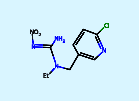 CCN(Cc1ccc(Cl)nc1)/C(N)=N/[N+](=O)[O-]